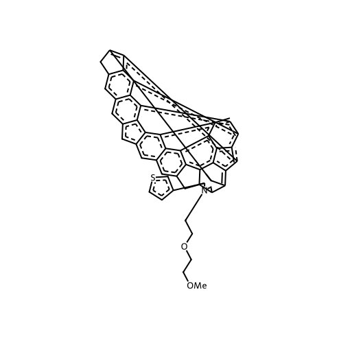 COCCOCCN1CC2C3=c4c5c6c7c(cc8cc9cc%10cc%11cc%12c%13c(c4c4c5c5c7c8c7c9c%10c8c%11c%13c4c8c75)=C(C3)C%12)CC62C1c1ccsc1